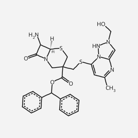 CC1=NC2=CN(CO)NN2C(SCC2(C(=O)OC(c3ccccc3)c3ccccc3)CS[C@@H]3C(N)C(=O)N3C2)=C1